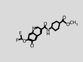 COC(=O)C1CCC(NC(=O)c2cnc3cc(OC(F)F)c(Cl)cc3c2)CC1